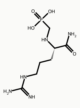 N=C(N)NCCC[C@H](NCP(=O)(O)O)C(N)=O